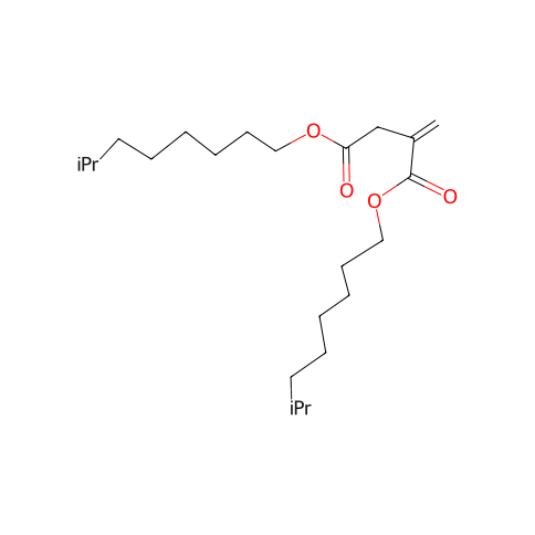 C=C(CC(=O)OCCCCCCC(C)C)C(=O)OCCCCCCC(C)C